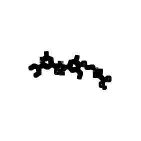 CCc1cc(-c2noc(-c3cc(C)nc(N(CC)CC)c3)n2)cc(C)c1OCCN1CC(C(=O)OC)C1